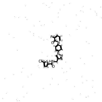 O=C(NCc1cn(-c2ccc(-n3cccc(F)c3=O)cc2)nn1)c1ccc(Cl)s1